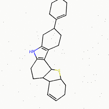 C1=CC2C(CC1)SC1c3c([nH]c4c3CCC(C3=CCCCC3)C4)CCC12